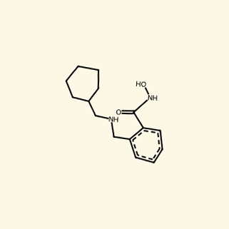 O=C(NO)c1ccccc1CNCC1CCCCC1